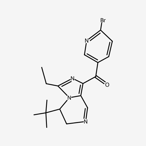 CCc1nc(C(=O)c2ccc(Br)nc2)c2n1C(C(C)(C)C)CN=C2